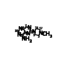 CN1CCN(c2ncc3ncnc(N)c3n2)CC1